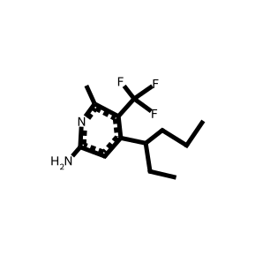 CCCC(CC)c1cc(N)nc(C)c1C(F)(F)F